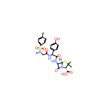 Cc1ccc(S(=O)(=O)N(C)CC(=O)NC(C(=O)NC2C(=O)N3[C@@H]2SC(C)(C)[C@@H]3C(=O)O)c2ccc(O)cc2)cc1